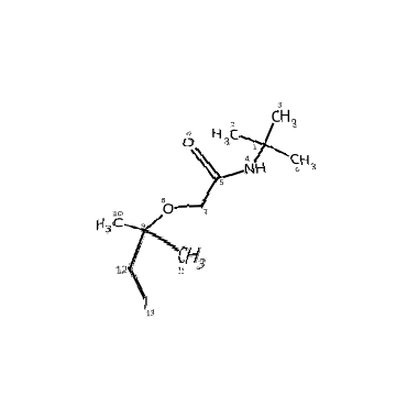 CC(C)(C)NC(=O)COC(C)(C)CI